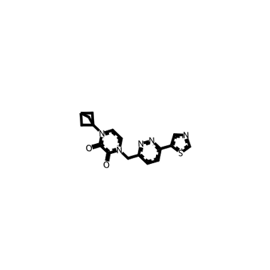 O=c1c(=O)n(C23CC(C2)C3)ccn1Cc1ccc(-c2cncs2)nn1